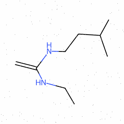 C=C(NCC)NCCC(C)C